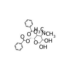 CN(C)C1C(O)[C@H](O)O[C@H](COC(=O)c2ccccc2)C1OC(=O)c1ccccc1